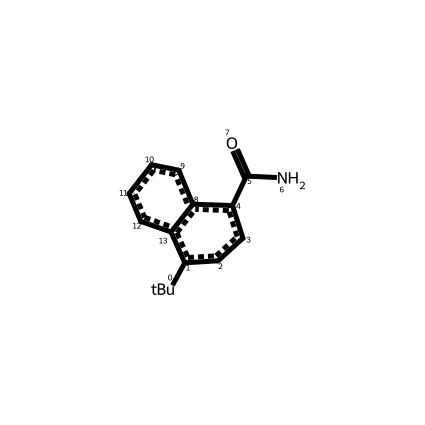 CC(C)(C)c1ccc(C(N)=O)c2ccccc12